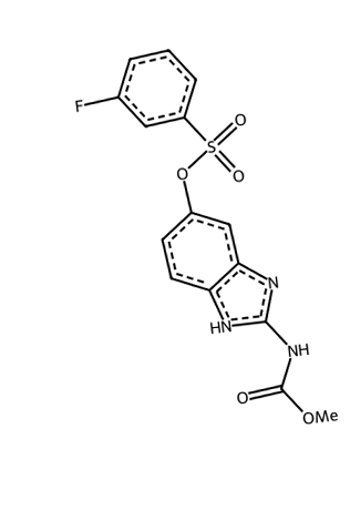 COC(=O)Nc1nc2cc(OS(=O)(=O)c3cccc(F)c3)ccc2[nH]1